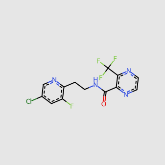 O=C(NCCc1ncc(Cl)cc1F)c1nccnc1C(F)(F)F